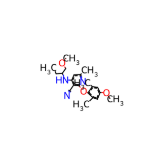 CCC(COC)Nc1cc(C)nc(Oc2c(C)cc(OC)cc2C)c1C#N